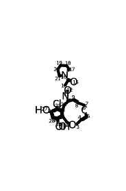 O=C1OC/C=C/CC/C=C/C(=N\OCC(=O)N2CCCCC2)Cc2c(Cl)c(O)cc(O)c21